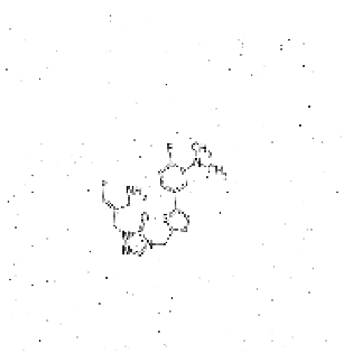 CN(C)c1cc(-c2ccc(Cn3cnn(C/C(=C/F)CN)c3=O)s2)ccc1F